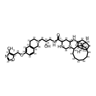 CC(=O)N1[C@@H]2CC[C@H]1C[C@@H](NC1CC(C(=O)NC[C@H](O)CN3CCc4cc(OCc5ocnc5C)ccc4C3)NCN1C1CCCCCCCCC1)C2